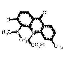 CCOC(=O)Cn1c2cc(C)ccc2c(=O)c2ccc(Cl)c(N(C)C)c21